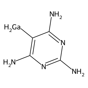 Nc1nc(N)[c]([GaH2])c(N)n1